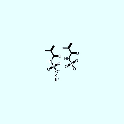 C=C(C)C(=O)NS(=O)(=O)[O-].C=C(C)C(=O)NS(=O)(=O)[O-].[K+].[K+]